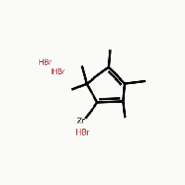 Br.Br.Br.CC1=C(C)C(C)(C)[C]([Zr])=C1C